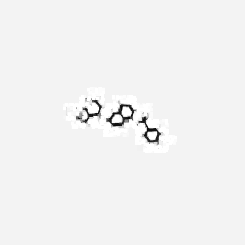 O=C(Nc1cccc2cc(Oc3ccnc4[nH]ncc34)ccc12)c1ccc(Br)cc1